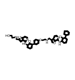 OCCNCc1cc2c(Nc3cccc(-c4ccc(OCCNCc5coc6c(Nc7cccc(-c8ccccc8)c7Cl)nccc56)cc4)c3Cl)nccc2s1